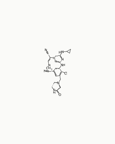 C=N/C=C(/C#N)N1CC(NC2CC2)=NC(Nc2cc(C#N)cc(CN3CCNC(=O)C3)c2Cl)=N1